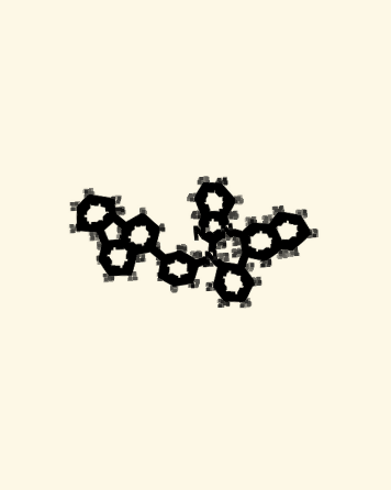 c1cc(-c2ccc3c4c(cccc24)-c2ccccc2-3)cc(N2c3ccccc3-c3cc4ccccc4cc3-n3c2nc2ccccc23)c1